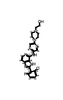 OCCN1CCN(c2cnc(Nc3nccc4nc(-c5c(F)cccc5Cl)[nH]c34)cn2)CC1